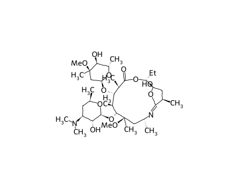 CC[C@H]1OC(=O)[C@H](C)[C@@H](O[C@H]2C[C@@](C)(OC)[C@@H](O)[C@H](C)O2)[C@H](C)[C@@H](O[C@@H]2O[C@H](C)C[C@H](N(C)C)[C@H]2O)[C@](C)(OC)C[C@@H](C)/N=C2\O[C@@]1(O)C[C@H]2C